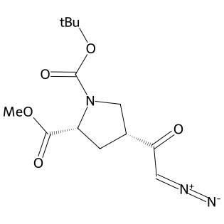 COC(=O)[C@H]1C[C@@H](C(=O)C=[N+]=[N-])CN1C(=O)OC(C)(C)C